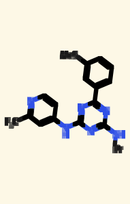 CSc1cccc(-c2nc(Nc3ccnc(C(F)(F)F)c3)nc(NC(C)C)n2)c1